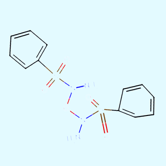 NN(ON(N)S(=O)(=O)c1ccccc1)S(=O)(=O)c1ccccc1